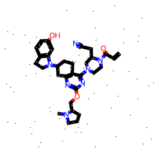 C=CC(=O)N1CCN(c2nc(OCC3CCCN3C)nc3c2CCC(N2CCc4ccc(O)cc42)C3)CC1CC#N